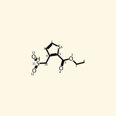 CCOC(=O)c1sccc1C[SH](=O)=O